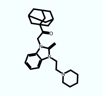 C=C1N(CCN2CCCCC2)c2ccccc2N1CC(=O)C12CC3CC(CC(C3)C1)C2